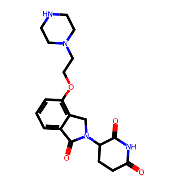 O=C1CCC(N2Cc3c(OCCN4CCNCC4)cccc3C2=O)C(=O)N1